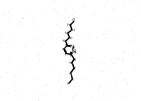 CCCCCCc1ccc(CCCCCC)nn1